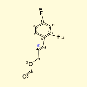 O=[C]OC/C=C/c1ccc(F)cc1F